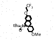 CO[C@H]1CC[C@]2(CC1)Cc1ccc(OCCC(F)(F)F)cc1C1C2N1[S+]([O-])C(C)(C)C